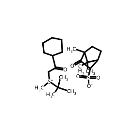 CC12CCC(C(S(=O)(=O)[O-])C1=O)C2(C)C.C[S+](CC(=O)C1CCCCC1)C(C)(C)C